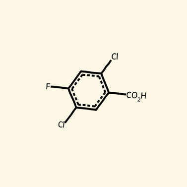 O=C(O)c1cc(Cl)c(F)cc1Cl